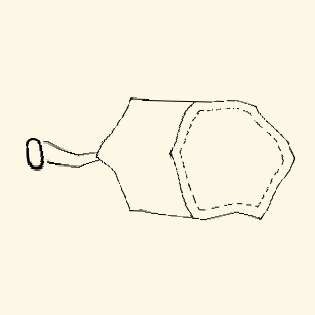 O=C1Cc2cccc(c2)C1